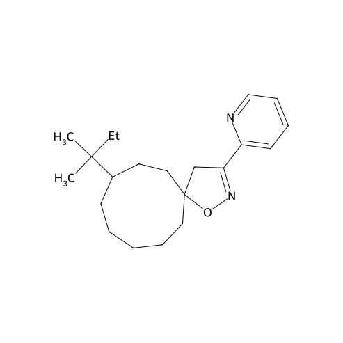 CCC(C)(C)C1CCCCCC2(CC1)CC(c1ccccn1)=NO2